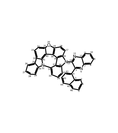 c1ccc2c(-c3nc4ccccc4nc3-n3c4ccc5oc6ccc7c8ccccc8n8c9cccc3c9c4c5c6c78)cccc2c1